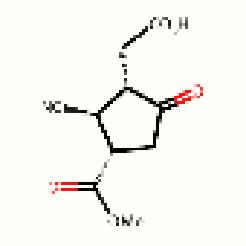 COC(=O)[C@H]1CC(=O)[C@@H](CC(=O)O)[C@@H]1C#N